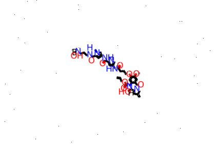 C=CCOC(=O)N1c2cc(OCCCC(=O)Nc3cc(C(=O)Nc4cc(C(=O)NCCCN(C)B(C)O)n(C)c4)n(C)c3)c(OC)cc2C(=O)N2CC(=C)C[C@H]2C1O